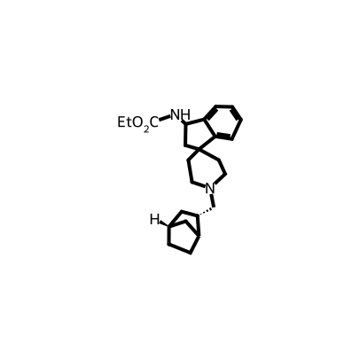 CCOC(=O)NC1CC2(CCN(C[C@H]3C[C@H]4CCC3C4)CC2)c2ccccc21